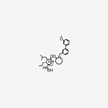 CCC[C@H](C(=O)NO)C(CC(C)C)C(=O)N[C@H]1CCCCN(Cc2cccc(-c3cccc(OC)c3)c2)C1=O